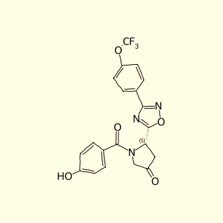 O=C1C[C@@H](c2nc(-c3ccc(OC(F)(F)F)cc3)no2)N(C(=O)c2ccc(O)cc2)C1